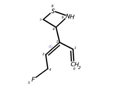 C=C/C(=C\CF)C1CSN1